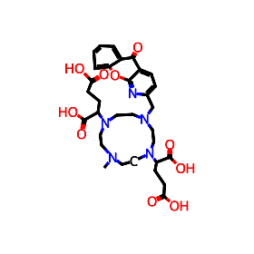 CN1CCN(C(CCC(=O)O)C(=O)O)CCN(Cc2ccc3c(=O)c4ccccc4oc3n2)CCN(C(CCC(=O)O)C(=O)O)CC1